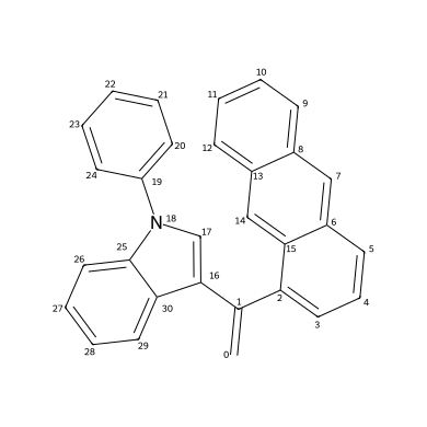 C=C(c1cccc2cc3ccccc3cc12)c1cn(-c2ccccc2)c2ccccc12